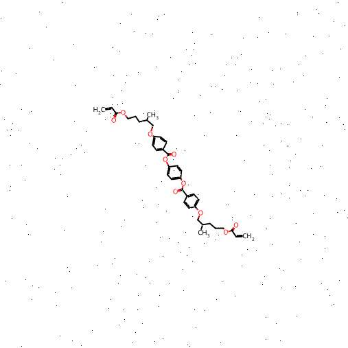 C=CC(=O)OCCCC(C)COc1ccc(C(=O)Oc2ccc(OC(=O)c3ccc(OCC(C)CCCOC(=O)C=C)cc3)cc2)cc1